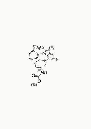 CCc1cc(N2CCC[C@@H](NC(=O)OC(C)(C)C)C2)c2c(n1)n(C)c(=O)n2-c1ccccc1C#N